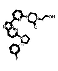 O=C1CN(c2cccc(-c3cnc4ccc(N5CCC[C@@H]5c5cccc(F)c5)nn34)n2)CCN1CCO